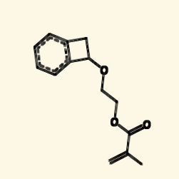 C=C(C)C(=O)OCCOC1Cc2ccccc21